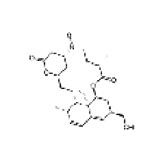 CC[C@H](C)C(=O)O[C@H]1C[C@@H](CO)C=C2C=C[C@H](C)[C@H](CC[C@@H]3C[C@@H](N=O)CC(=O)O3)[C@]21CC